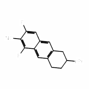 CCCC1CCc2cc3c(F)c(C#N)c(F)cc3cc2C1